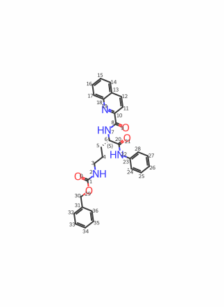 O=C(NCCC[C@H](NC(=O)c1ccc2ccccc2n1)C(=O)Nc1[c]cccc1)OCc1ccccc1